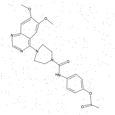 COc1cc2ncnc(N3CCN(C(=O)Nc4ccc(OC(C)=O)cc4)CC3)c2cc1OC